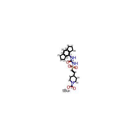 CC(C)(C)OC(=O)N1CCC(/C=C/S(=O)(=O)NC(=O)Nc2c3c(cc4c2CCC4)CCC3)CC1